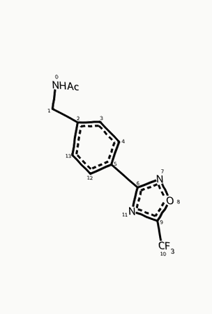 CC(=O)NCc1ccc(-c2noc(C(F)(F)F)n2)cc1